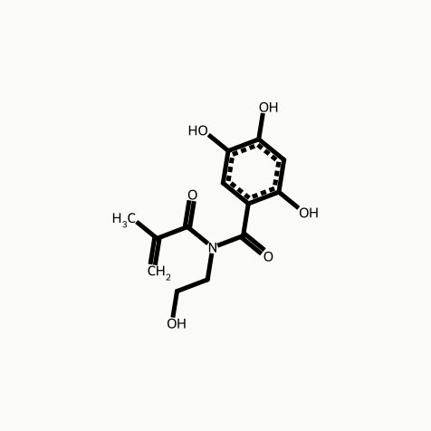 C=C(C)C(=O)N(CCO)C(=O)c1cc(O)c(O)cc1O